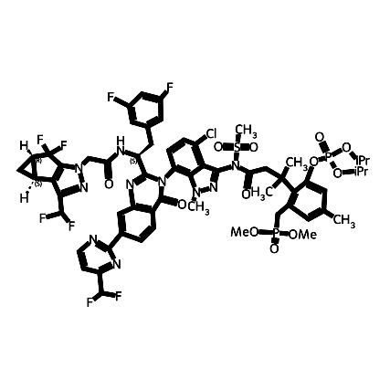 COP(=O)(Cc1cc(C)cc(OP(=O)(OC(C)C)OC(C)C)c1C(C)(C)CC(=O)N(c1nn(C)c2c(-n3c([C@H](Cc4cc(F)cc(F)c4)NC(=O)Cn4nc(C(F)F)c5c4C(F)(F)[C@@H]4C[C@H]54)nc4cc(-c5nccc(C(F)F)n5)ccc4c3=O)ccc(Cl)c12)S(C)(=O)=O)OC